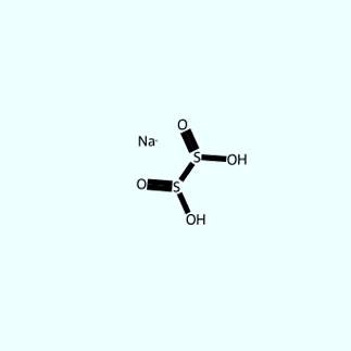 O=S(O)S(=O)O.[Na]